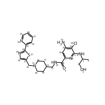 CC(CO)Nc1nc(C(=O)NCC2CCN(Cc3cnc(-c4ccccn4)s3)CC2)cc(N)c1Cl